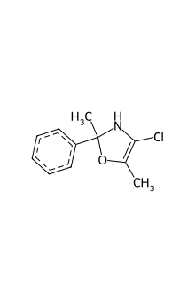 CC1=C(Cl)NC(C)(c2ccccc2)O1